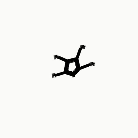 CC(C)c1sc(C(C)C)c(C(C)C)c1C(C)C